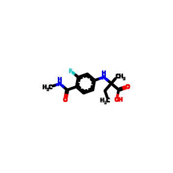 CCC(C)(Nc1ccc(C(=O)NC)c(F)c1)C(=O)O